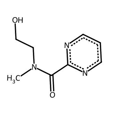 CN(CCO)C(=O)c1ncccn1